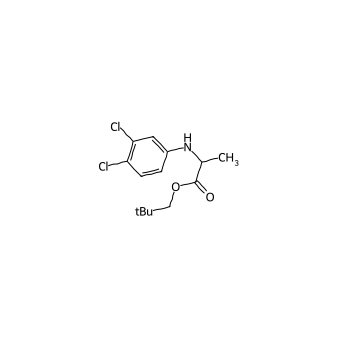 CC(Nc1ccc(Cl)c(Cl)c1)C(=O)OCC(C)(C)C